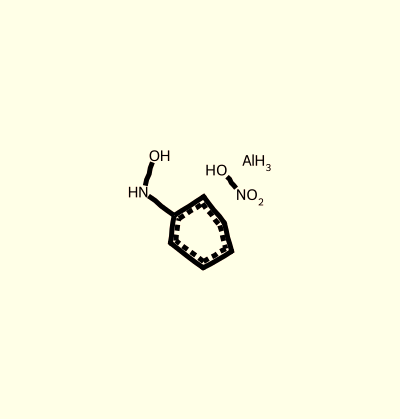 O=[N+]([O-])O.ONc1ccccc1.[AlH3]